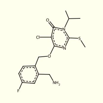 CSc1nc(OCc2ccc(F)cc2CN)c(Cl)c(=O)n1C(C)C